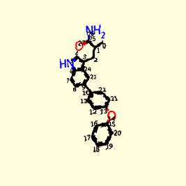 CC(Cc1c[nH]c2ccc(-c3ccc(Oc4ccccc4)cc3)cc12)C(N)=O